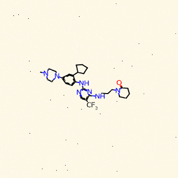 CN1CCN(c2ccc(Nc3ncc(C(F)(F)F)c(NCCCN4CCCCC4=O)n3)c(C3CCCC3)c2)CC1